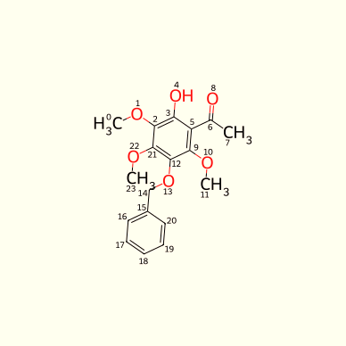 COc1c(O)c(C(C)=O)c(OC)c(OCc2ccccc2)c1OC